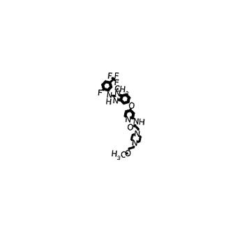 COCCN1CCN(CC(=O)Nc2cc(Oc3ccc4c(c3)nc(Nc3cc(C(F)(F)F)ccc3F)n4C)ccn2)CC1